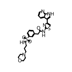 O=C(Cc1cccc(S(=O)(=O)NCCCN2CCOCC2)c1)Nc1nc(-c2c[nH]c3ncccc23)cs1